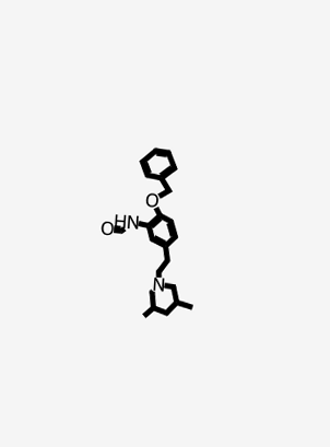 CC1CC(C)CN(CCc2ccc(OCc3ccccc3)c(NC=O)c2)C1